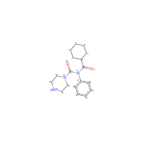 O=C(C1CCCCC1)N(C(=O)N1CCNCC1)c1ccccc1